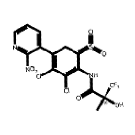 C[C@@](O)(C(=O)NC1=C(Cl)C(Cl)=C(c2cccnc2[N+](=O)[O-])CC1=S(=O)=O)C(F)(F)F